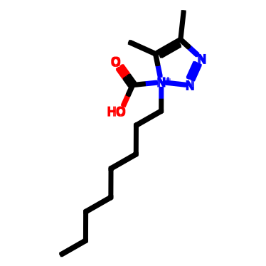 CCCCCCCC[N+]1(C(=O)O)N=NC(C)=C1C